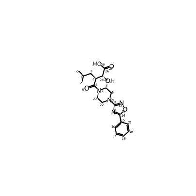 CC(C)C[C@H](C(=O)N1CCN(c2noc(-c3ccccc3)n2)CC1)[C@@H](O)C(=O)O